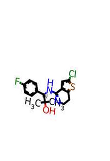 CC(C)(O)[C@H](NC1=NCCc2sc(Cl)cc21)c1ccc(F)cc1